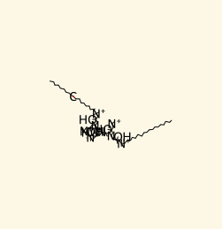 CCCCCCCCCCCCCCCCCC[N+](C)(C)CC(O)CN(CCN(CCN(CC(O)C[N+](C)(C)C)CC(O)C[N+](C)(C)CCCCCCCCCCCCCCCCCC)CC(O)C[N+](C)(C)C)CC(O)C[N+](C)(C)C